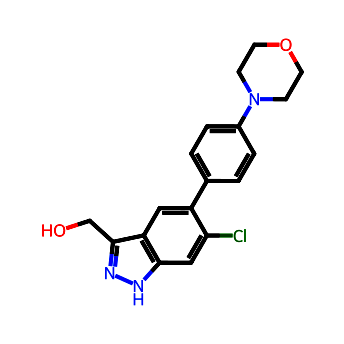 OCc1n[nH]c2cc(Cl)c(-c3ccc(N4CCOCC4)cc3)cc12